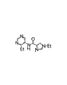 CCc1ncncc1NC(=O)c1cn(CC)cn1